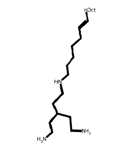 CCCCCCCCC=CCCCCCNCCC(CCN)CCN